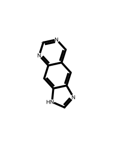 [c]1ncc2cc3nc[nH]c3cc2n1